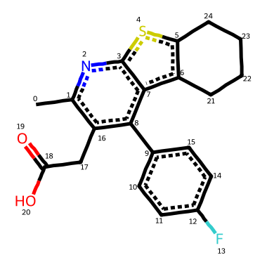 Cc1nc2sc3c(c2c(-c2ccc(F)cc2)c1CC(=O)O)CCCC3